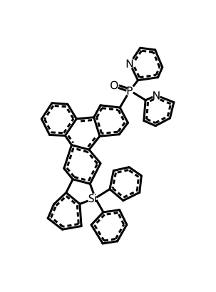 O=P(c1ccc2c(c1)c1ccccc1c1cc3c(cc21)[Si](c1ccccc1)(c1ccccc1)c1ccccc1-3)(c1ccccn1)c1ccccn1